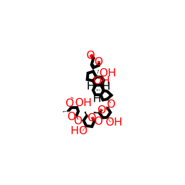 CO[C@H]1[C@@H](O)C[C@H](O[C@H]2[C@@H](O)C[C@H](O[C@H]3[C@@H](O)C[C@H](O[C@H]4CC[C@@]5(C)[C@H](CC[C@@H]6[C@@H]5C[C@@H](O)[C@]5(C)[C@@H](C7=CC(=O)OC7)CC[C@]65O)C4)O[C@@H]3C)O[C@@H]2C)O[C@@H]1C